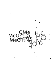 COC1=CC(C(=O)NC(=S)Nc2cccc(NC(=O)C3CC=NC(C)C3)c2)=CC(OC)C1OC